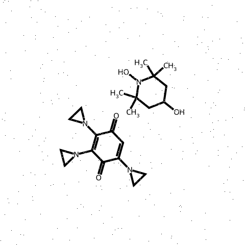 CC1(C)CC(O)CC(C)(C)N1O.O=C1C=C(N2CC2)C(=O)C(N2CC2)=C1N1CC1